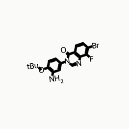 CC(C)(C)Oc1ccc(-n2cnc3c(F)c(Br)ccc3c2=O)cc1N